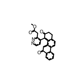 COC(=O)Cc1nnccc1C1=c2c(ccc3c2=CC(=O)c2ccccc2-3)CCC1=O